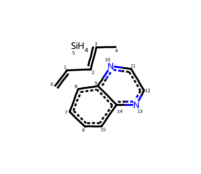 C=CC=CC.[SiH4].c1ccc2nccnc2c1